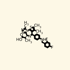 Cc1sc2c(c1C)C(c1ccc(NCc3ccc(F)cc3F)cc1)=N[C@@H](C(C)C(=O)O)c1nnc(C)n1-2